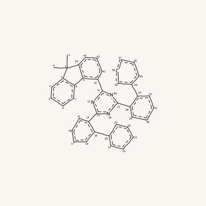 CC1(C)c2ccccc2-c2c(-c3nc(-c4ccccc4-c4ccccc4)nc(-c4ccccc4-c4ccccc4)n3)cccc21